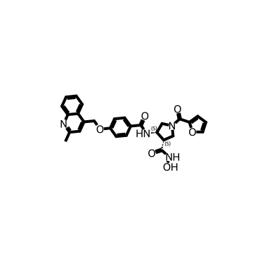 Cc1cc(COc2ccc(C(=O)N[C@@H]3CN(C(=O)c4ccco4)C[C@@H]3C(=O)NO)cc2)c2ccccc2n1